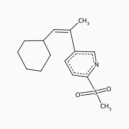 CC(=CC1CCCCC1)c1ccc(S(C)(=O)=O)nc1